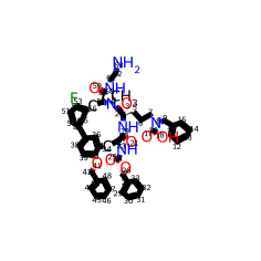 CN1C(=O)[C@H](CCCN(Cc2ccccc2)C(=O)O)NC(=O)[C@@H](NC(=O)OCc2ccccc2)Cc2cc(ccc2OCc2ccccc2)-c2ccc(F)c(c2)C[C@H]1C(=O)NCCN